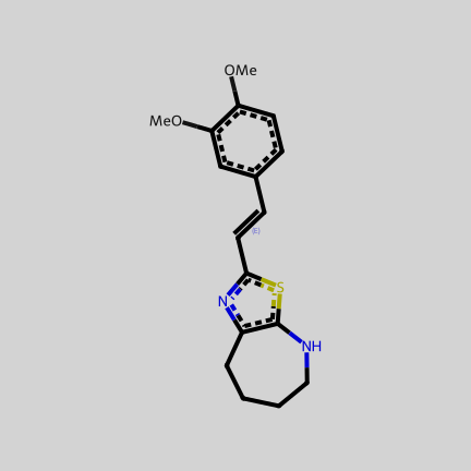 COc1ccc(/C=C/c2nc3c(s2)NCCCC3)cc1OC